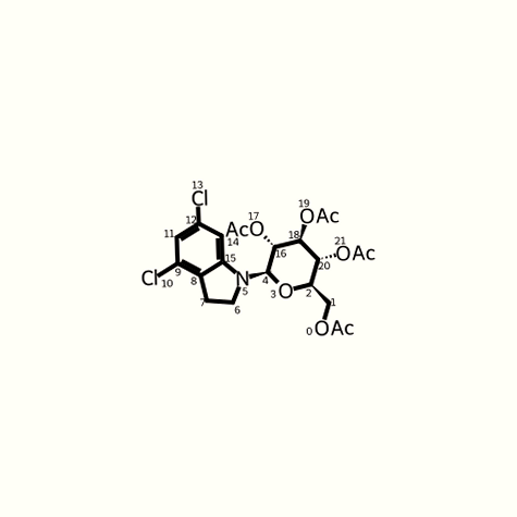 CC(=O)OC[C@H]1O[C@@H](N2CCc3c(Cl)cc(Cl)cc32)[C@H](OC(C)=O)[C@@H](OC(C)=O)[C@@H]1OC(C)=O